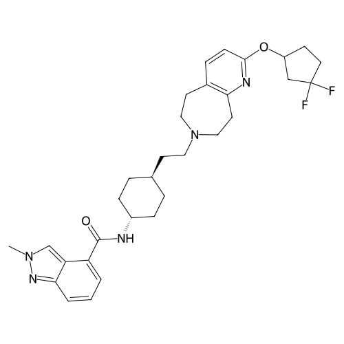 Cn1cc2c(C(=O)N[C@H]3CC[C@H](CCN4CCc5ccc(OC6CCC(F)(F)C6)nc5CC4)CC3)cccc2n1